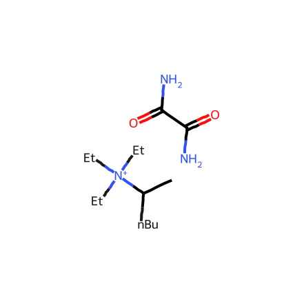 CCCCC(C)[N+](CC)(CC)CC.NC(=O)C(N)=O